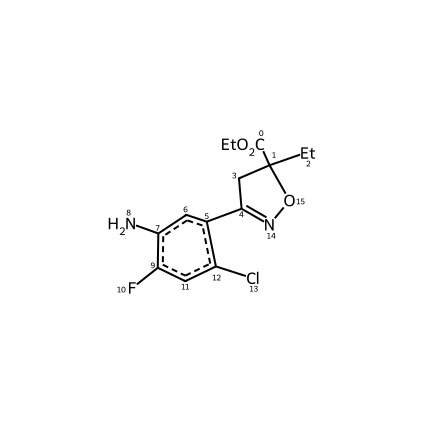 CCOC(=O)C1(CC)CC(c2cc(N)c(F)cc2Cl)=NO1